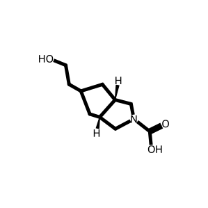 O=C(O)N1C[C@H]2CC(CCO)C[C@H]2C1